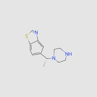 C[C@H](c1ccc2scnc2c1)N1CCNCC1